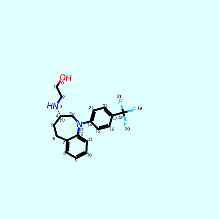 OCCN[C@H]1CCc2ccccc2N(c2ccc(C(F)(F)F)cc2)C1